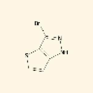 Brc1n[nH]c2ccsc12